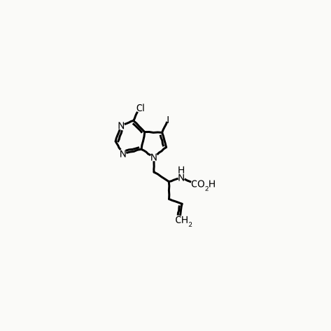 C=CCC(Cn1cc(I)c2c(Cl)ncnc21)NC(=O)O